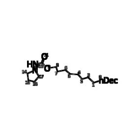 CCCCCCCCCCCCCCCCCCOC(=O)NN1CCCC1